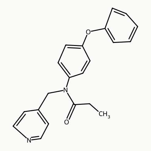 CCC(=O)N(Cc1ccncc1)c1ccc(Oc2ccccc2)cc1